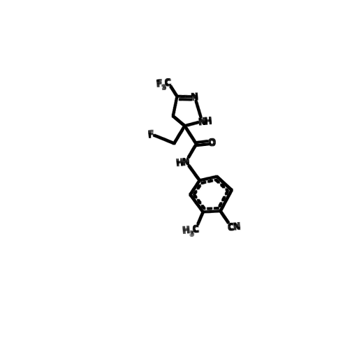 Cc1cc(NC(=O)C2(CF)CC(C(F)(F)F)=NN2)ccc1C#N